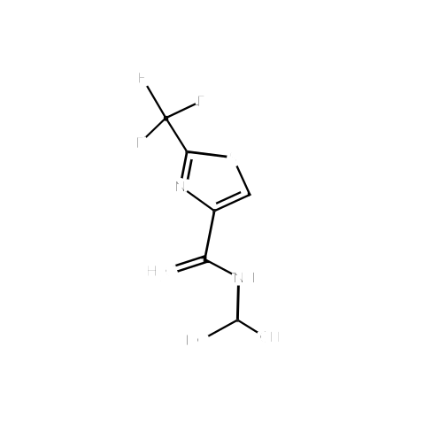 C=C(NC(C)C)c1csc(C(F)(F)F)n1